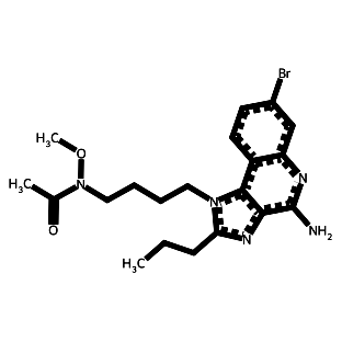 CCCc1nc2c(N)nc3cc(Br)ccc3c2n1CCCCN(OC)C(C)=O